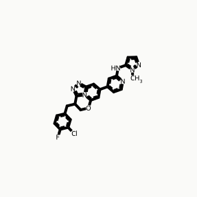 Cn1nccc1Nc1cc(-c2cc3n4c(nnc4c2)C(Cc2ccc(F)c(Cl)c2)CO3)ccn1